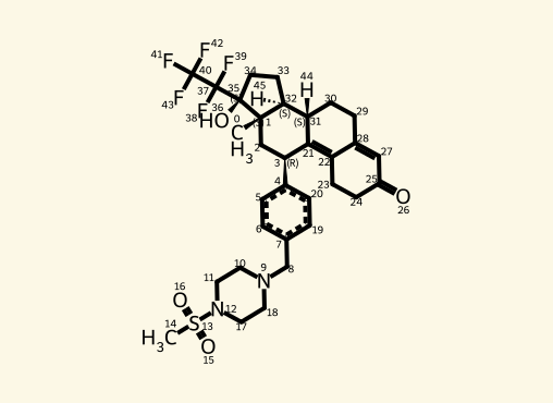 C[C@]12C[C@H](c3ccc(CN4CCN(S(C)(=O)=O)CC4)cc3)C3=C4CCC(=O)C=C4CC[C@H]3[C@@H]1CC[C@@]2(O)C(F)(F)C(F)(F)F